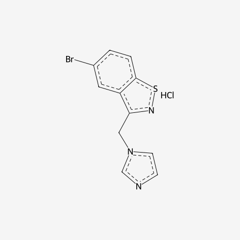 Brc1ccc2snc(Cn3ccnc3)c2c1.Cl